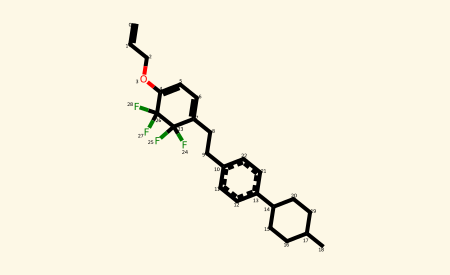 C=CCOC1=CC=C(CCc2ccc(C3CCC(C)CC3)cc2)C(F)(F)C1(F)F